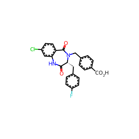 O=C(O)c1ccc(CN2C(=O)c3ccc(Cl)cc3NC(=O)[C@H]2Cc2ccc(F)cc2)cc1